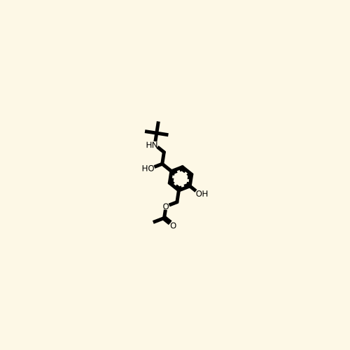 CC(=O)OCc1cc(C(O)CNC(C)(C)C)ccc1O